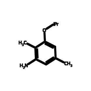 Cc1cc(N)c(C)c(OC(C)C)c1